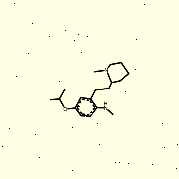 CNc1ccc(OC(C)C)cc1CCC1CCCCN1C